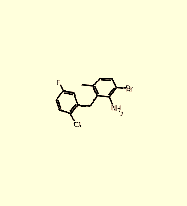 Cc1ccc(Br)c(N)c1Cc1cc(F)ccc1Cl